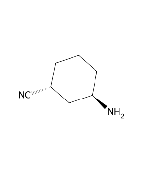 N#C[C@@H]1CCC[C@@H](N)C1